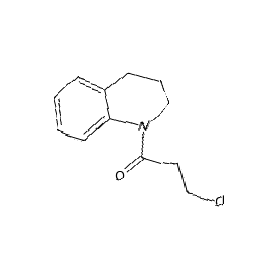 O=C(CCCl)N1CCCc2ccccc21